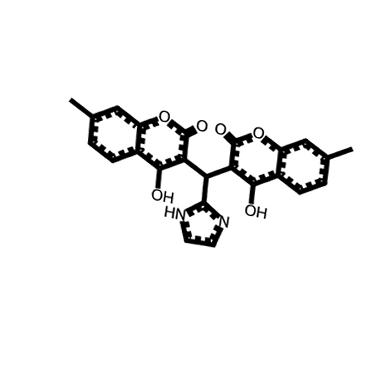 Cc1ccc2c(O)c(C(c3ncc[nH]3)c3c(O)c4ccc(C)cc4oc3=O)c(=O)oc2c1